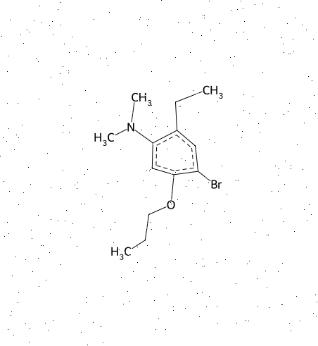 CCCOc1cc(N(C)C)c(CC)cc1Br